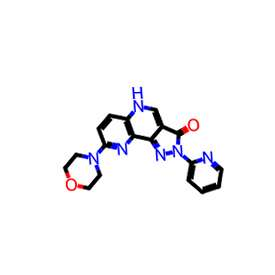 O=c1c2c[nH]c3ccc(N4CCOCC4)nc3c-2nn1-c1ccccn1